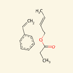 C=Cc1ccccc1.CC=CCOC(=O)CC